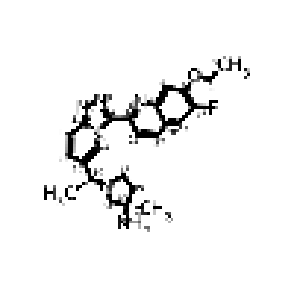 CCOc1cc2nc(-c3nnc4ccc([C@H](C)N5CC[C@@](C)(N)C5)cn34)ccc2cc1F